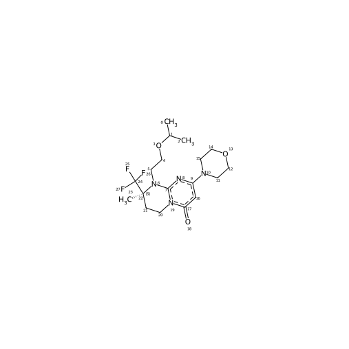 CC(C)OCCN1c2nc(N3CCOCC3)cc(=O)n2CC[C@@]1(C)C(F)(F)F